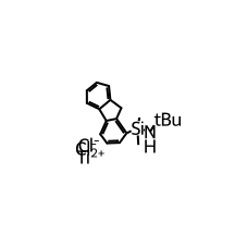 CC(C)(C)N[Si](C)(C)c1cccc2c1Cc1ccccc1-2.[Cl-].[Cl-].[Ti+2]